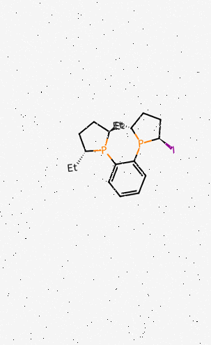 CC[C@@H]1CC[C@@H](CC)P1c1ccccc1P1[C@H](CC)CC[C@H]1I